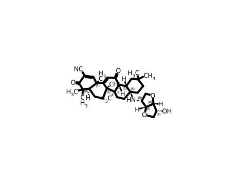 CC1(C)CC[C@]2(N[C@@H]3CO[C@H]4[C@@H]3OC[C@H]4O)CC[C@]3(C)[C@H](C(=O)C=C4[C@@]5(C)C=C(C#N)C(=O)C(C)(C)[C@@H]5CC[C@]43C)[C@@H]2C1